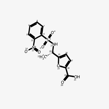 C[C@H](NS(=O)(=O)c1ccccc1[N+](=O)[O-])c1ccc(C(=O)O)o1